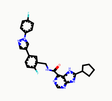 O=C(NCc1cc(-c2cnn(-c3ccc(F)cc3)c2)ccc1F)c1ncnc2nc(C3CCCC3)[nH]c12